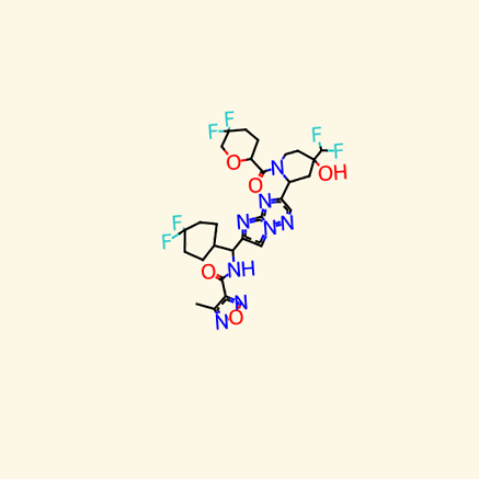 Cc1nonc1C(=O)NC(c1cn2ncc(C3CC(O)(C(F)F)CCN3C(=O)C3CCC(F)(F)CO3)nc2n1)C1CCC(F)(F)CC1